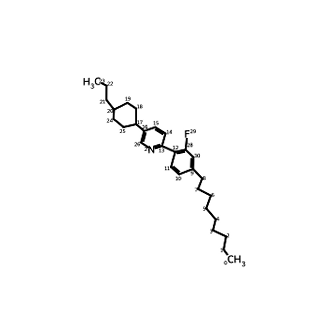 CCCCCCCCCc1ccc(-c2ccc(C3CCC(CCC)CC3)cn2)c(F)c1